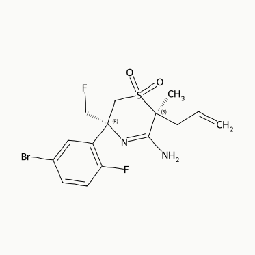 C=CC[C@@]1(C)C(N)=N[C@@](CF)(c2cc(Br)ccc2F)CS1(=O)=O